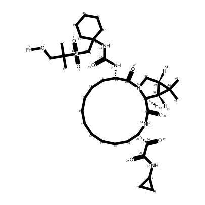 CCOCC(C)(C)S(=O)(=O)CC1(NC(=O)N[C@H]2CCCCCCCCC[C@@H](C(=O)C(=O)NC3CC3)NC(=O)[C@@H]3[C@@H]4[C@H](CN3C2=O)C4(C)C)CCCCC1